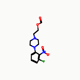 O=COCCN1CCN(c2cccc(F)c2[N+](=O)[O-])CC1